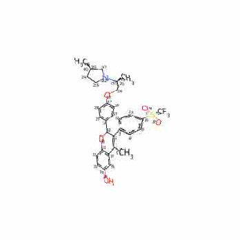 CC1=C(c2ccc(S(=O)(=O)C(F)(F)F)cc2)C(c2ccc(OC[C@H](C)N3CC[C@@H](C)C3)cc2)Oc2ccc(O)cc21